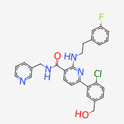 O=C(NCc1cccnc1)c1ccc(-c2cc(CO)ccc2Cl)nc1NCCc1cccc(F)c1